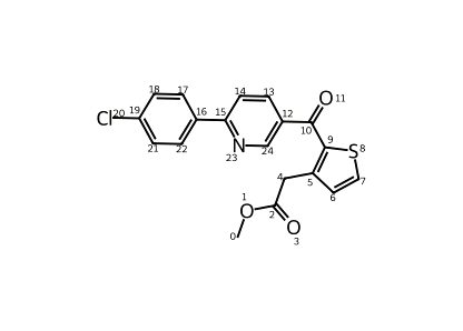 COC(=O)Cc1ccsc1C(=O)c1ccc(-c2ccc(Cl)cc2)nc1